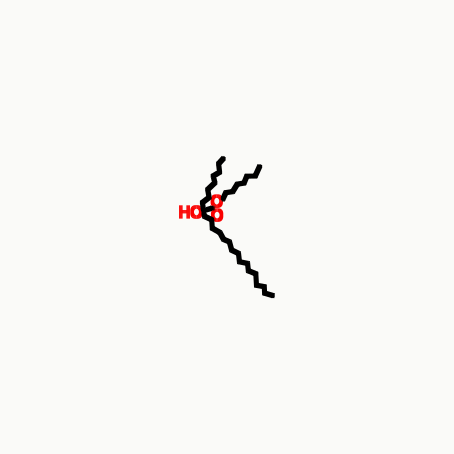 CCCCCCCCCCCCCCCCC(O)(CCCCCCCC)C(=O)OCCCCCCCC